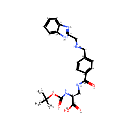 CC(C)(C)OC(=O)N[C@@H](CNC(=O)c1ccc(CNCc2nc3ccccc3[nH]2)cc1)C(=O)O